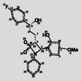 COc1ccc([C@@H]2[C@@H](CC[C@@H](O)c3ccc(F)cc3)S(=O)(=O)N2c2ccccc2)c(O)c1